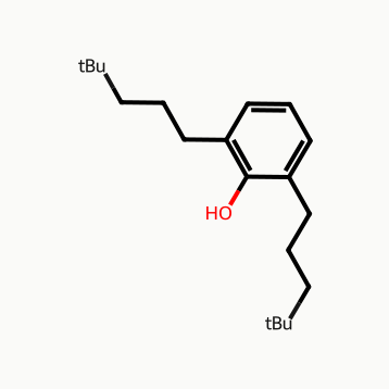 CC(C)(C)CCCc1cccc(CCCC(C)(C)C)c1O